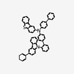 C1=CC(c2ccc3c(c2)c2ccccc2n3-c2ccccc2-c2ccc(N(c3ccc(-c4ccccc4)cc3)c3ccc4sc5ccccc5c4c3)cc2)=CCC1